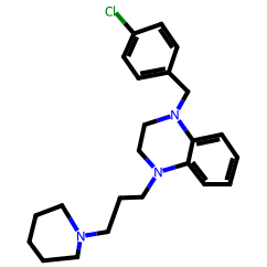 Clc1ccc(CN2CCN(CCCN3CCCCC3)c3ccccc32)cc1